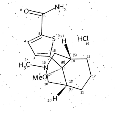 CO[C@@]1(c2ccc(C(N)=O)s2)[C@@H]2CCC[C@H]1CN(C)C2.Cl